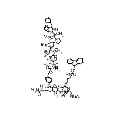 CC[C@H](C)[C@@H]([C@@H](CC(=O)N1CCC[C@H]1[C@H](OC)[C@@H](C)C(=O)N[C@@H](Cc1ccccc1)c1nccs1)OC)N(C)C(=O)[C@@H](NC(=O)C(C)(C)NC(=O)OCc1ccc(NC(=O)[C@H](CCCNC(N)=O)NC(=O)[C@@H](NC(=O)[C@H](CCCCNC(=O)OCC2c3ccccc3-c3ccccc32)NC(=O)CNC(C)=O)C(C)C)cc1)C(C)C